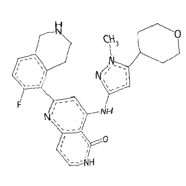 Cn1nc(Nc2cc(-c3c(F)ccc4c3CCNC4)nc3cc[nH]c(=O)c23)cc1C1CCOCC1